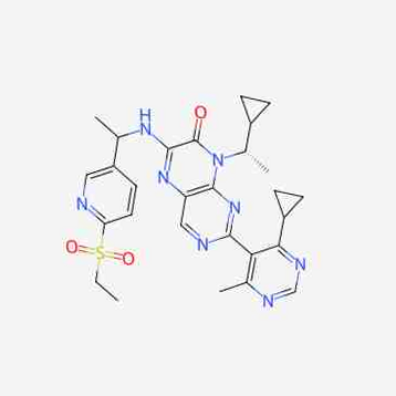 CCS(=O)(=O)c1ccc(C(C)Nc2nc3cnc(-c4c(C)ncnc4C4CC4)nc3n([C@@H](C)C3CC3)c2=O)cn1